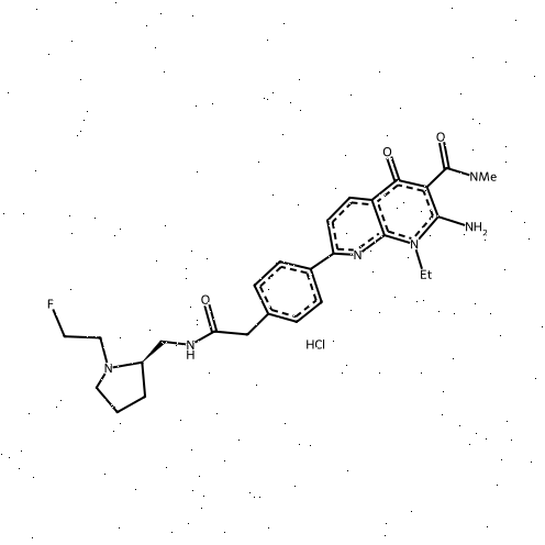 CCn1c(N)c(C(=O)NC)c(=O)c2ccc(-c3ccc(CC(=O)NC[C@H]4CCCN4CCF)cc3)nc21.Cl